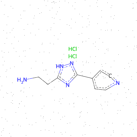 Cl.Cl.NCCc1nc(-c2ccncc2)n[nH]1